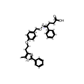 Cc1oc(-c2ccccc2)nc1CCOc1ccc(CO/N=C(/CCC(=O)O)c2ccccc2)cc1